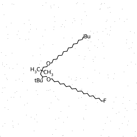 CCC(C)CCCCCCCCCCCCCOCCC(C)(C)CC(COCCCCCCCCCCCCCCCCCCF)C(C)(C)C